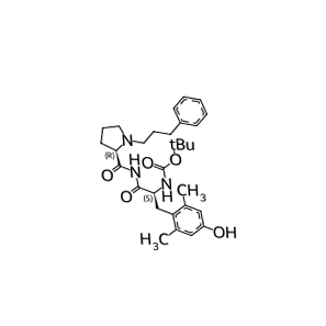 Cc1cc(O)cc(C)c1C[C@H](NC(=O)OC(C)(C)C)C(=O)NC(=O)[C@H]1CCCN1CCCc1ccccc1